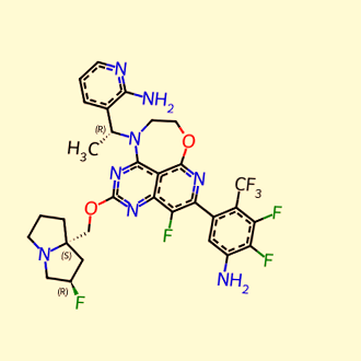 C[C@H](c1cccnc1N)N1CCOc2nc(-c3cc(N)c(F)c(F)c3C(F)(F)F)c(F)c3nc(OC[C@@]45CCCN4C[C@H](F)C5)nc1c23